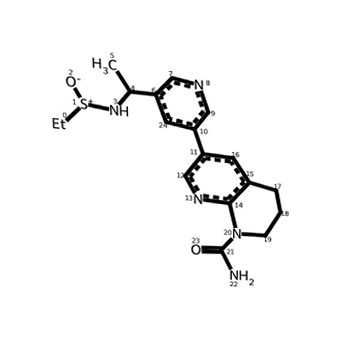 CC[S+]([O-])NC(C)c1cncc(-c2cnc3c(c2)CCCN3C(N)=O)c1